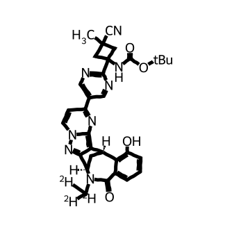 [2H]C([2H])([2H])N1C(=O)c2cccc(O)c2[C@H]2C[C@@H]1c1nn3ccc(-c4cnc(C5(NC(=O)OC(C)(C)C)CC(C)(C#N)C5)nc4)nc3c12